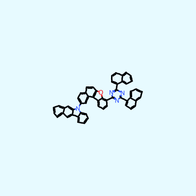 c1ccc2cc3c(cc2c1)c1ccccc1n3-c1ccc2ccc3oc4c(-c5nc(-c6cccc7ccccc67)nc(-c6cccc7ccccc67)n5)cccc4c3c2c1